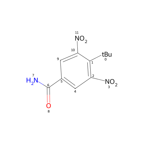 CC(C)(C)c1c([N+](=O)[O-])cc(C(N)=O)cc1[N+](=O)[O-]